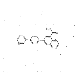 NC(=O)c1cc(-c2ccc(-c3cccnc3)cc2)nc2ccccc12